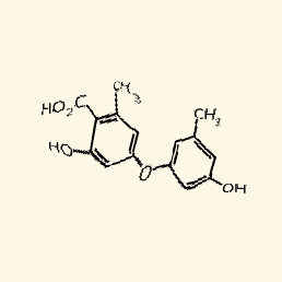 Cc1cc(O)cc(Oc2cc(C)c(C(=O)O)c(O)c2)c1